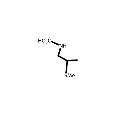 CSC(C)CNC(=O)O